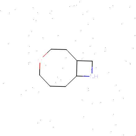 C1COCCC2CNC2C1